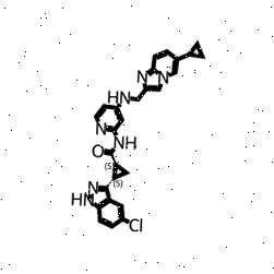 O=C(Nc1cc(NCc2cn3cc(C4CC4)ccc3n2)ccn1)[C@H]1C[C@@H]1c1n[nH]c2ccc(Cl)cc12